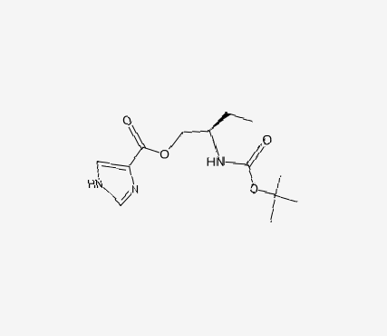 CC[C@H](COC(=O)c1c[nH]cn1)NC(=O)OC(C)(C)C